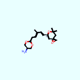 CC(C=C[C@@H]1C[C@]2(CO2)CC(C)(C)O1)=CCC1OCC(N)CO1